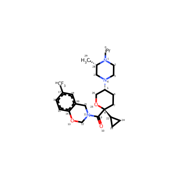 CC(C)N1CCN([C@@H]2CC[C@@](C(=O)N3COc4ccc(C(F)(F)F)cc4C3)(C3CC3)OC2)C[C@@H]1C